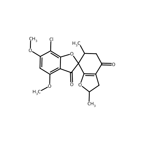 COc1cc(OC)c2c(c1Cl)OC1(C2=O)C2=C(CC(C)O2)C(=O)CC1C